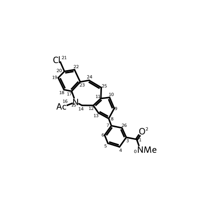 CNC(=O)c1cccc(-c2ccc3c(c2)CN(C(C)=O)c2ccc(Cl)cc2C=C3)c1